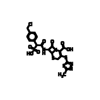 Cc1nnc(SC2=C(C(=O)O)N3C(=O)C(NC(=O)C(c4ccc(CCl)cc4)S(=O)(=O)O)C3SC2)s1